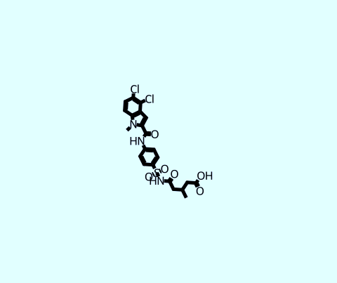 CC(CC(=O)O)CC(=O)NS(=O)(=O)c1ccc(NC(=O)c2cc3c(Cl)c(Cl)ccc3n2C)cc1